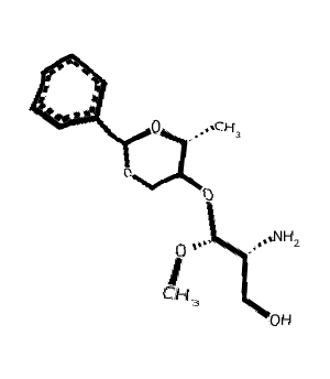 CO[C@H](OC1COC(c2ccccc2)O[C@@H]1C)[C@H](N)CO